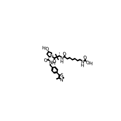 Cc1ncsc1-c1ccc(CNC(=O)[C@@H]2C[C@@H](O)CN2C(=O)C(C)(C)[C@H](C)NC(=O)CCCCCCNC(=O)O)cc1